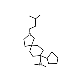 CC(C)CCN1CCC2(CCC(C3CCCC3)(N(C)C)CC2)C1